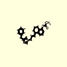 CC(=O)Oc1cccc2c1CCCC2C=CCn1cnc(Cc2ccccc2)c1